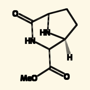 COC(=O)C1NC(=O)C2CC[C@@H]1N2